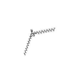 CCCCCCCCCCCCCCCCOCC(C#N)C(=O)OCCCCCCCCCCCCCCCC